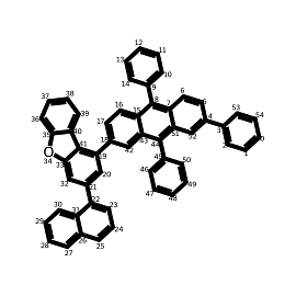 c1ccc(-c2ccc3c(-c4ccccc4)c4ccc(-c5cc(-c6cccc7ccccc67)cc6oc7ccccc7c56)cc4c(-c4ccccc4)c3c2)cc1